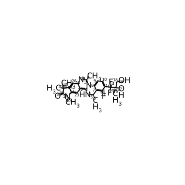 Cc1nc(N[C@H](C)c2cccc(C(F)(F)[C@](C)(O)CO)c2F)c2cc3c(cc2n1)C(C)(C)C(=O)N3C